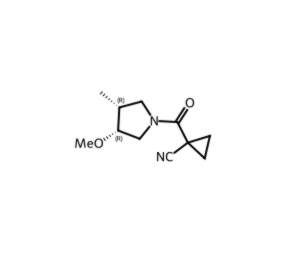 CO[C@H]1CN(C(=O)C2(C#N)CC2)C[C@H]1C